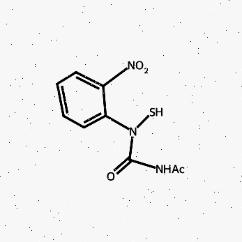 CC(=O)NC(=O)N(S)c1ccccc1[N+](=O)[O-]